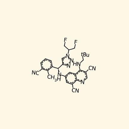 Cc1c(C#N)cccc1[C@H](Nc1cc(C#N)c2ncc(C#N)c(NCC(C)(C)C)c2c1)c1cn(C(CF)CF)nn1